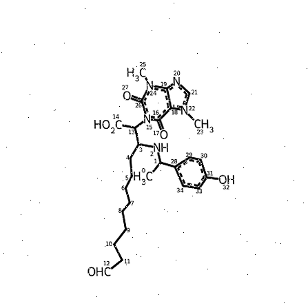 CC(NC(CCCCCCCCC=O)C(C(=O)O)n1c(=O)c2c(ncn2C)n(C)c1=O)c1ccc(O)cc1